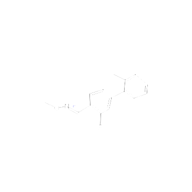 CO/N=C/c1ccc(-c2ccccc2C)cc1F